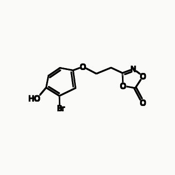 O=c1onc(CCOc2ccc(O)c(Br)c2)o1